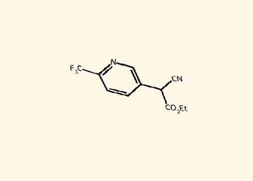 CCOC(=O)C(C#N)c1ccc(C(F)(F)F)nc1